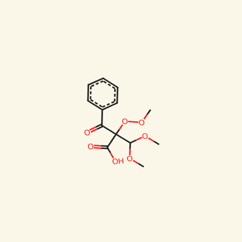 COOC(C(=O)O)(C(=O)c1ccccc1)C(OC)OC